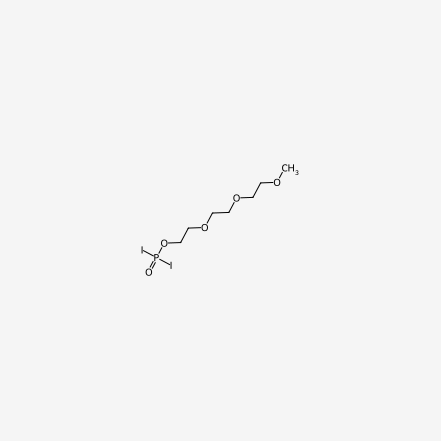 COCCOCCOCCOP(=O)(I)I